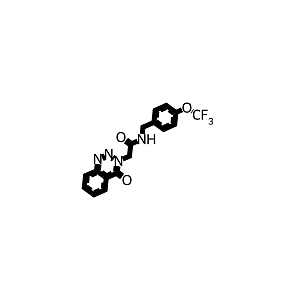 O=C(Cn1nnc2ccccc2c1=O)NCc1ccc(OC(F)(F)F)cc1